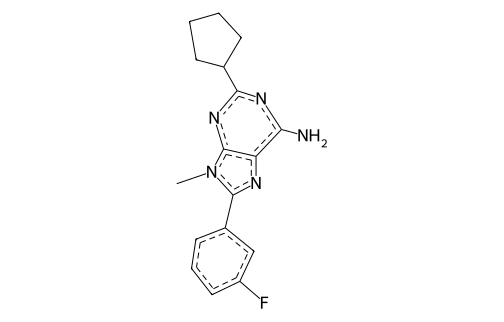 Cn1c(-c2cccc(F)c2)nc2c(N)nc(C3CCCC3)nc21